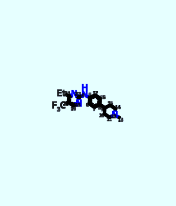 CCc1nc(Nc2ccc(C3CCN(C)CC3)cc2)ncc1C(F)(F)F